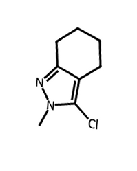 Cn1nc2c(c1Cl)CCCC2